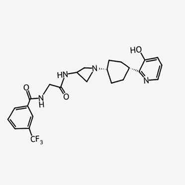 O=C(CNC(=O)c1cccc(C(F)(F)F)c1)NC1CN([C@H]2CC[C@@H](c3ncccc3O)CC2)C1